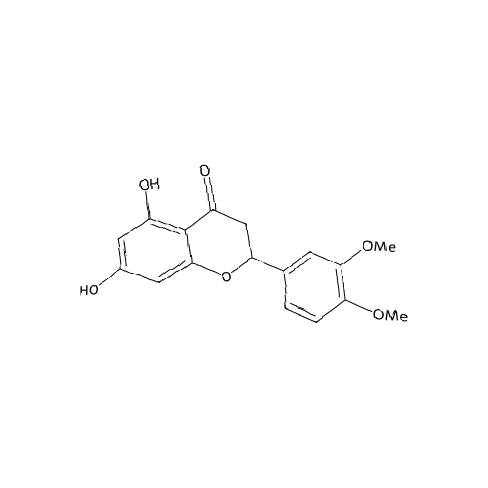 COc1ccc(C2CC(=O)c3c(O)cc(O)cc3O2)cc1OC